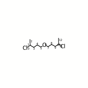 ClC(I)CCCOCCCC(Cl)I